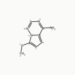 COc1ccc2c(N)ncnn12